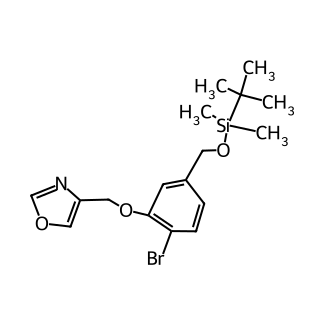 CC(C)(C)[Si](C)(C)OCc1ccc(Br)c(OCc2cocn2)c1